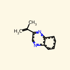 C=C(C)c1cnc2ccccc2n1